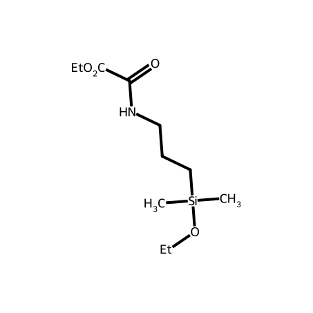 CCOC(=O)C(=O)NCCC[Si](C)(C)OCC